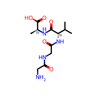 CC(C)[C@H](NC(=O)CNC(=O)CN)C(=O)N[C@@H](C)C(=O)O